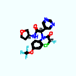 O=C(N[C@H]1CCOC1)[C@@H](c1cncnc1)N(C(=O)[C@H](F)Cl)c1ccc(OC(F)(F)F)cc1